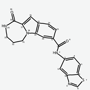 O=C(Nc1ccc2scnc2c1)c1ccc2cc3n(c2c1)CCCNC3=O